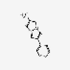 CC1=Nc2cc(-c3ccccc3)nn2C1